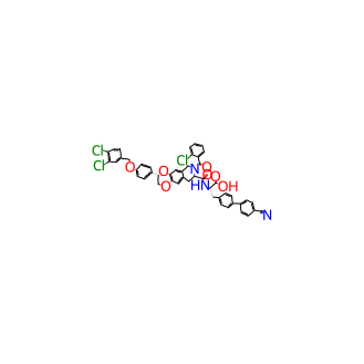 N#Cc1ccc(-c2ccc(C[C@H](NC(=O)C3Cc4cc5c(cc4CN3C(=O)c3ccccc3Cl)O[C@@H](c3ccc(OCc4ccc(Cl)c(Cl)c4)cc3)CO5)C(=O)O)cc2)cc1